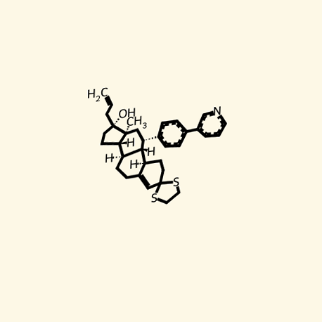 C=CC[C@]1(O)CC[C@H]2[C@@H]3CCC4=CC5(CC[C@@H]4[C@H]3[C@@H](c3ccc(-c4cccnc4)cc3)C[C@@]21C)SCCS5